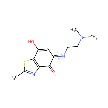 Cc1nc2c(s1)C(O)=C/C(=N\CCN(C)C)C2=O